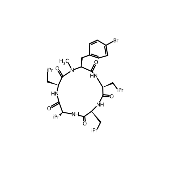 CC(C)C[C@@H]1NC(=O)[C@H](CC(C)C)NC(=O)[C@H](Cc2ccc(Br)cc2)N(C)C(=O)[C@H](CC(C)C)NC(=O)[C@H](C(C)C)NC1=O